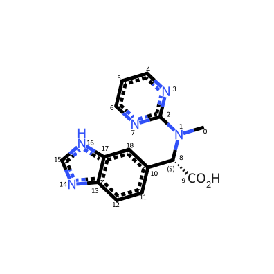 CN(c1ncccn1)[C@H](C(=O)O)c1ccc2nc[nH]c2c1